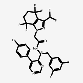 O=C(Cn1nc(C(F)F)c2c1C(F)(F)CCC2(F)F)N[C@@H](Cc1cc(F)cc(F)c1)c1ncncc1-c1ccc(Cl)cc1